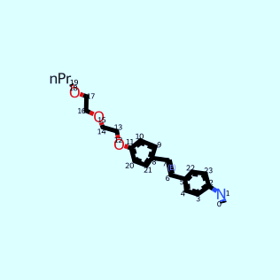 C=Nc1ccc(/C=C/c2ccc(OCCOCCOCCC)cc2)cc1